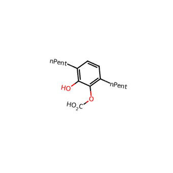 CCCCCc1ccc(CCCCC)c(OC(=O)O)c1O